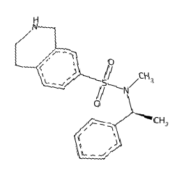 C[C@@H](c1ccccc1)N(C)S(=O)(=O)c1ccc2c(c1)CNCC2